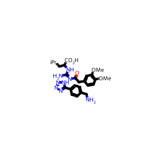 COc1ccc(CC(=O)N=C(N)NC(CC(C)C)C(=O)O)cc1OC.NCc1ccc(-c2nnn[nH]2)cc1